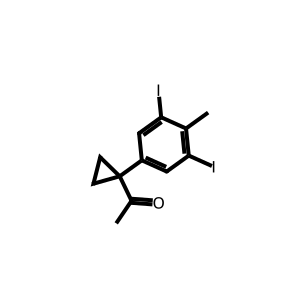 CC(=O)C1(c2cc(I)c(C)c(I)c2)CC1